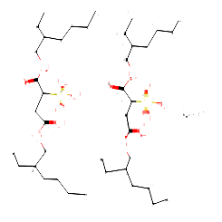 CCCCC(CC)COC(=O)CC(C(=O)OCC(CC)CCCC)S(=O)(=O)[O-].CCCCC(CC)COC(=O)CC(C(=O)OCC(CC)CCCC)S(=O)(=O)[O-].[Ca+2]